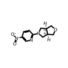 O=[N+]([O-])c1ccc(N2C[C@H]3COC[C@H]3C2)nc1